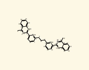 Cc1nc(-c2cccc(CCCc3cccc(-c4nc(C)c5ccccc5n4)n3)n2)nc2ccccc12